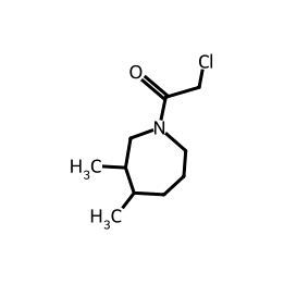 CC1CCCN(C(=O)CCl)CC1C